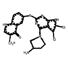 CCc1[nH]c2nc(Sc3ccc4[nH]cc(C(=O)O)c(=O)c4c3)nc(N3CCC(N)C3)c2c1Cl